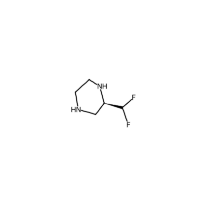 FC(F)[C@H]1CNCCN1